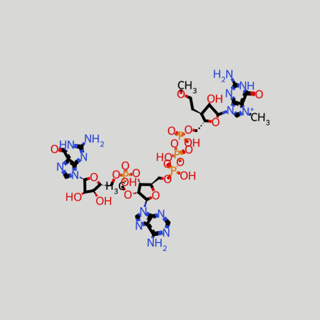 COCC[C@@H]1[C@@H](COP(=O)(O)OP(=O)(O)OP(=O)(O)OC[C@H]2O[C@@H](n3cnc4c(N)ncnc43)[C@H](OC)[C@@H]2OP(=O)(O)OC[C@H]2O[C@@H](n3cnc4c(=O)[nH]c(N)nc43)[C@H](O)[C@@H]2O)OC(n2c[n+](C)c3c(=O)[nH]c(N)nc32)[C@@H]1O